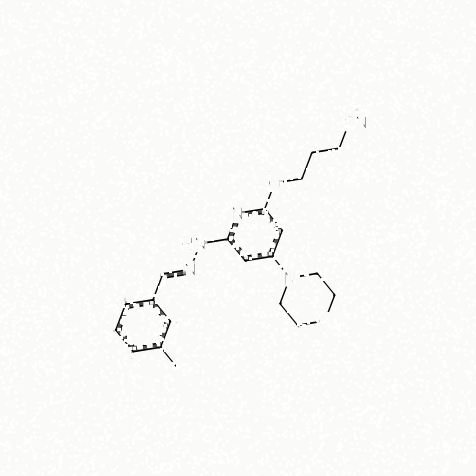 Cc1cccc(C=NNc2cc(N3CCOCC3)cc(OCCCC#N)n2)c1